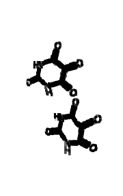 O=C1NC(=O)C(=O)C(=O)N1.O=C1NC(=O)C(=O)C(=O)N1